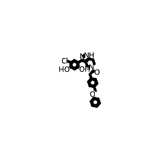 O=C(Cc1ccc(COc2ccccc2)cc1)N1CCc2[nH]nc(-c3cc(Cl)c(O)cc3O)c2C1